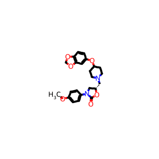 COc1ccc(N2C[C@H](CN3CCC(Oc4ccc5c(c4)OCO5)CC3)OC2=O)cc1